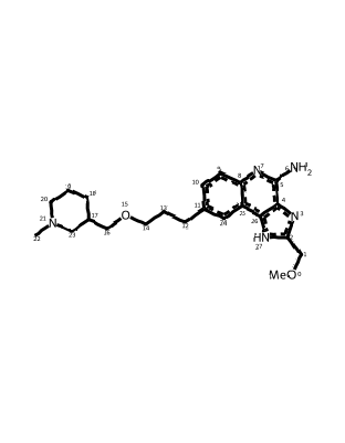 COCc1nc2c(N)nc3ccc(CCCOCC4CCCN(C)C4)cc3c2[nH]1